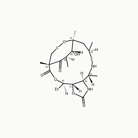 CC[C@H]1OC(=O)[C@]2(C)CCO[C@@](C)(C[C@@H](C)CN[C@H](C)[C@H]3NC(=O)O[C@@H]31)[C@H](O)[C@@H](C)C2=O